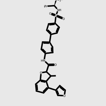 CC1c2c(cccc2-c2ccoc2)OC1C(=O)Nc1ccc(-c2ccc(S(=O)(=O)N[C@H](C(=O)O)C(C)C)cc2)cc1